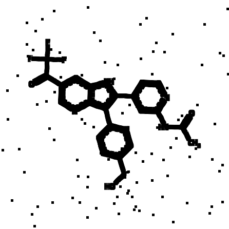 CC(=O)Nc1cc(-c2[nH]c3cc(C(=O)C(F)(F)F)cnc3c2-c2ccc(CO)cn2)ccn1